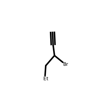 C#CC(Br)CCC